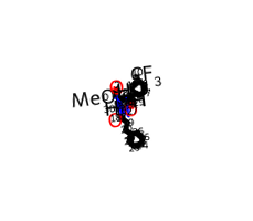 COC(=O)N1[C@H](c2cccc(C(F)(F)F)c2)[C@@H]2C=C[C@H]1N(C(=O)CCc1ccccc1)O2